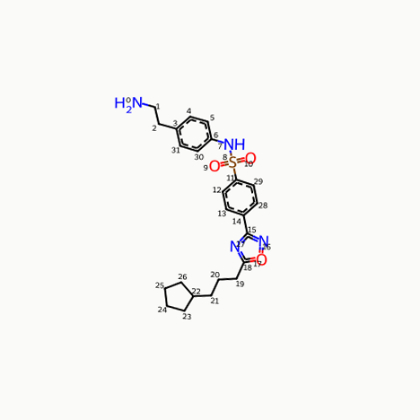 NCCc1ccc(NS(=O)(=O)c2ccc(-c3noc(CCCC4CCCC4)n3)cc2)cc1